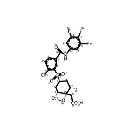 CC[C@@H]1C[C@@H](S(=O)(=O)c2cc(C(=O)Nc3cc(F)c(F)c(F)c3)ccc2Cl)C[C@H](C)[C@@]1(O)CC(=O)O